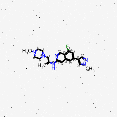 C=C(CN1CCN(C)CC1)Nc1cc2cc(-c3cnn(C)c3)cc(F)c2cn1